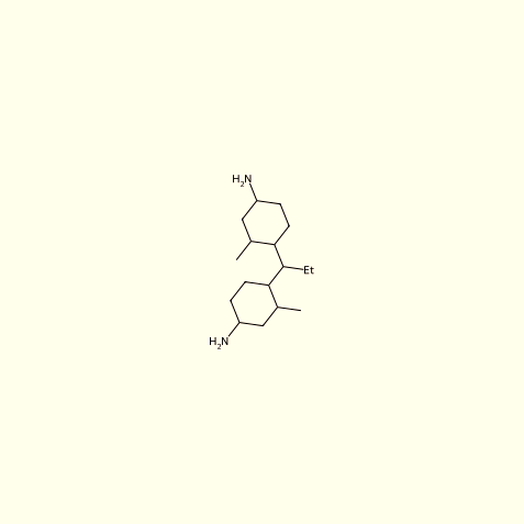 CCC(C1CCC(N)CC1C)C1CCC(N)CC1C